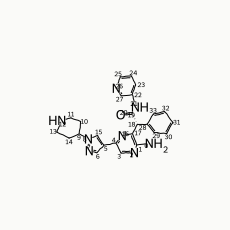 Nc1ncc(-c2cnn(C3CCNCC3)c2)nc1[C@H](C(=O)Nc1cccnc1)c1ccccc1